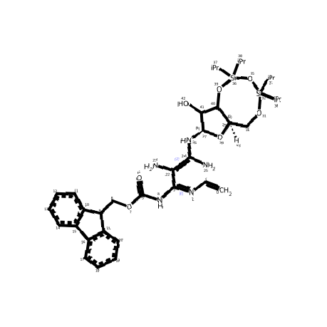 C=C/N=C(NC(=O)OCC1c2ccccc2-c2ccccc21)\C(N)=C(/N)N[C@@H]1O[C@@H]2CO[Si](C(C)C)(C(C)C)O[Si](C(C)C)(C(C)C)OC2C1O